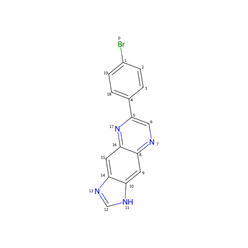 Brc1ccc(-c2cnc3cc4[nH]cnc4cc3n2)cc1